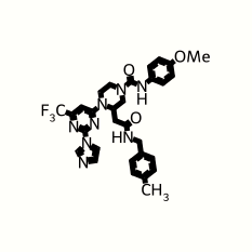 COc1ccc(NC(=O)N2CCN(c3cc(C(F)(F)F)nc(-n4ccnc4)n3)C(CC(=O)NCc3ccc(C)cc3)C2)cc1